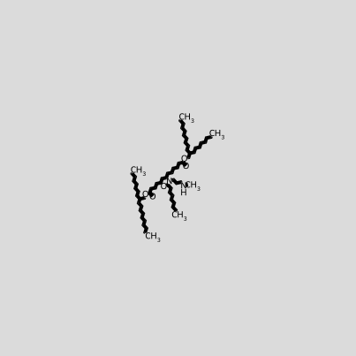 CCCCCCCCCCC(CCCCCCCC)COC(=O)CCCCCC(CCCCCC(=O)OCC(CCCCCCCC)CCCCCCCCCC)N(CCCNC)C(=O)CCCCCCCC